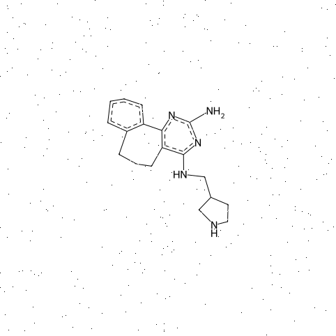 Nc1nc(NCC2CCNC2)c2c(n1)-c1ccccc1CCC2